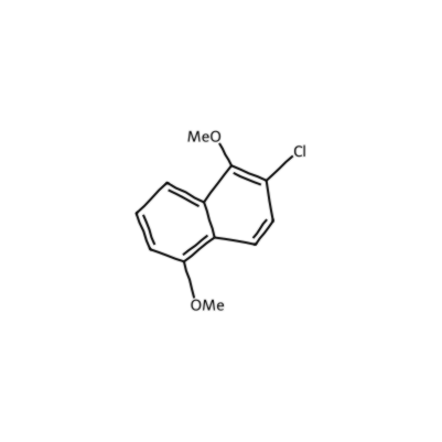 COc1cccc2c(OC)c(Cl)ccc12